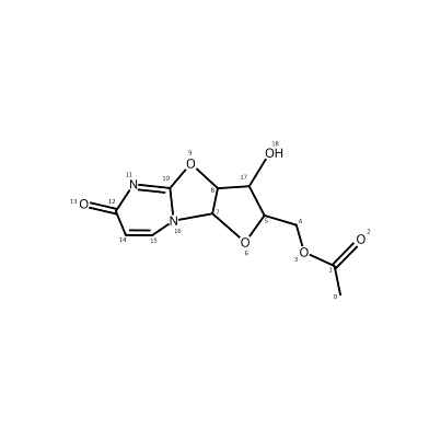 CC(=O)OCC1OC2C(Oc3nc(=O)ccn32)C1O